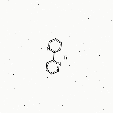 [Ti].c1ccc(-c2ccccn2)nc1